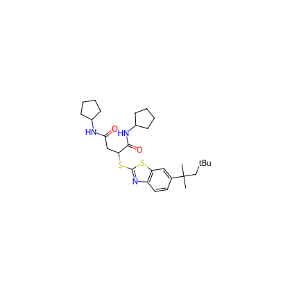 CC(C)(C)CC(C)(C)c1ccc2nc(SC(CC(=O)NC3CCCC3)C(=O)NC3CCCC3)sc2c1